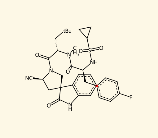 CN(C(=O)[C@H](Cc1ccc(F)cc1)NS(=O)(=O)C1CC1)[C@@H](CC(C)(C)C)C(=O)N1C[C@]2(C[C@H]1C#N)C(=O)Nc1ccccc12